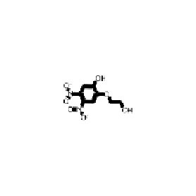 O=[N+]([O-])c1cc(O)c(OCCO)cc1[N+](=O)[O-]